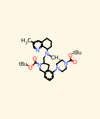 Cc1cnc2c(c1)CCCC2N(C)CC1Cc2c(cccc2N2CCN(C(=O)OC(C)(C)C)CC2)CN1C(=O)OC(C)(C)C